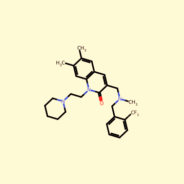 Cc1cc2cc(CN(C)Cc3ccccc3C(F)(F)F)c(=O)n(CCN3CCCCC3)c2cc1C